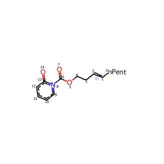 CCCCC/C=C/CCOC(=O)n1ccccc1=O